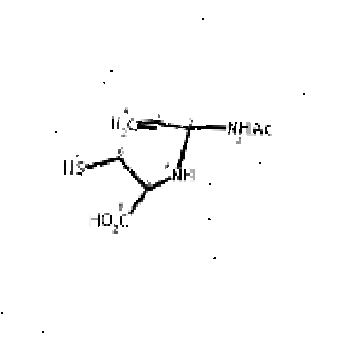 C=CC(NC(C)=O)NC(CS)C(=O)O